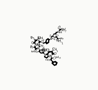 CC[C@@H](C)[C@H]([C@H](CC(=O)N1CCC[C@@H]1[C@@H](OC)[C@H](C)C(=O)N[C@@H](C)[C@H](O)c1ccccc1)OC)N(C)C(=O)[C@H](NC(=O)[C@@H](C(C)C)N(C)C(=O)OCc1ccc(NC(=O)[C@@H](CCCNC(N)=O)NC(=O)[C@H](N)C(C)C)cc1)C(C)C